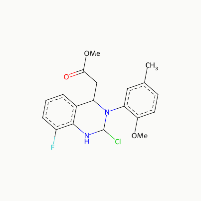 COC(=O)CC1c2cccc(F)c2NC(Cl)N1c1cc(C)ccc1OC